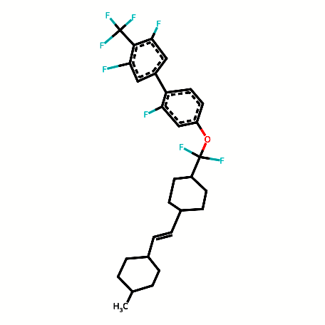 CC1CCC(/C=C/C2CCC(C(F)(F)Oc3ccc(-c4cc(F)c(C(F)(F)F)c(F)c4)c(F)c3)CC2)CC1